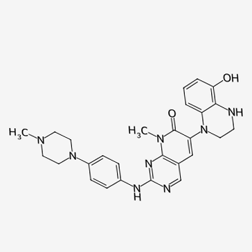 CN1CCN(c2ccc(Nc3ncc4cc(N5CCNc6c(O)cccc65)c(=O)n(C)c4n3)cc2)CC1